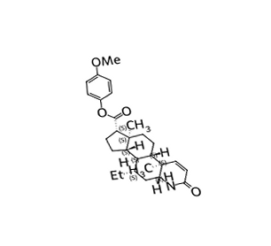 CC[C@H]1C[C@H]2NC(=O)C=C[C@]2(C)[C@H]2CC[C@]3(C)[C@@H](C(=O)Oc4ccc(OC)cc4)CC[C@H]3[C@H]12